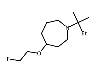 CCC(C)(C)N1CCCC(OCCF)CC1